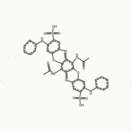 CC(=O)Nc1c2c(c(NC(C)=O)c3c1=Nc1cc(S(=O)(=O)O)c(Nc4ccccc4)cc1O3)=Nc1cc(S(=O)(=O)O)c(Nc3ccccc3)cc1O2